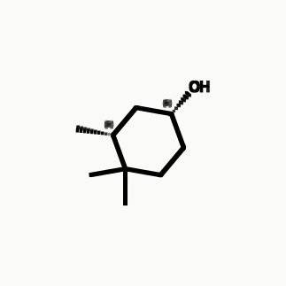 C[C@@H]1C[C@H](O)CCC1(C)C